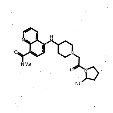 CNC(=O)c1ccc(NC2CCN(CC(=O)N3CCCC3C#N)CC2)c2cccnc12